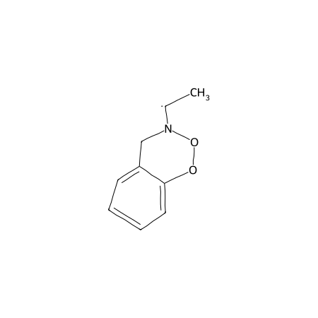 C[CH]N1Cc2ccccc2OO1